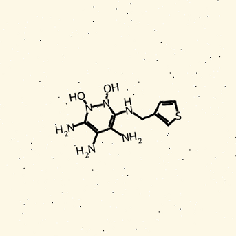 NC1=C(N)N(O)N(O)C(NCc2ccsc2)=C1N